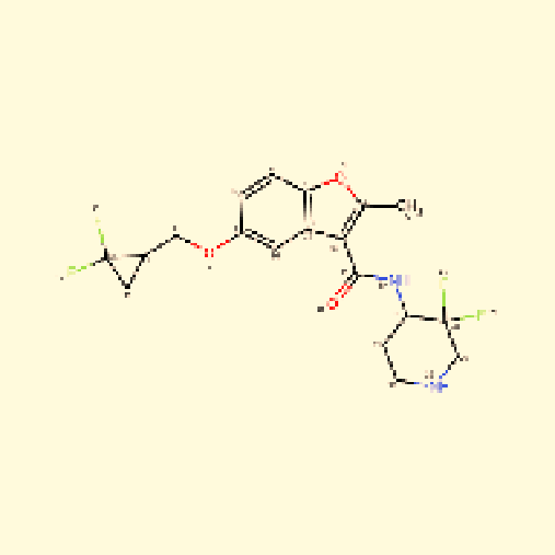 Cc1oc2ccc(OCC3CC3(F)F)cc2c1C(=O)NC1CCNCC1(F)F